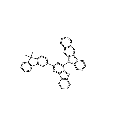 CC1(C)c2ccccc2-c2cc(-c3nc(-n4c5ccccc5c5cc6ccccc6cc54)c4sc5ccccc5c4n3)ccc21